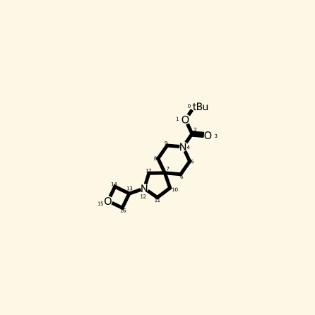 CC(C)(C)OC(=O)N1CCC2(CC1)CCN(C1COC1)C2